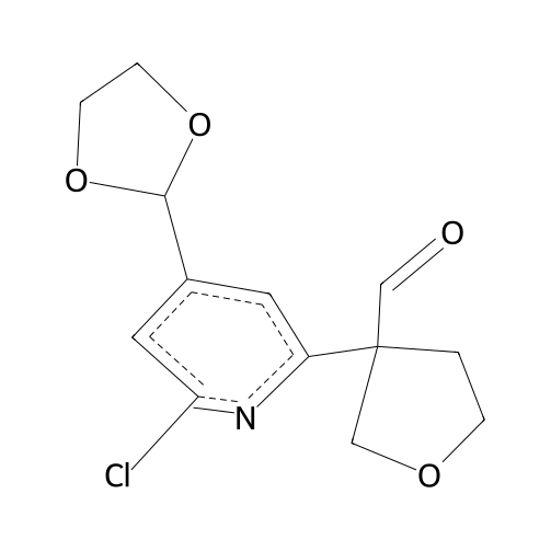 O=CC1(c2cc(C3OCCO3)cc(Cl)n2)CCOC1